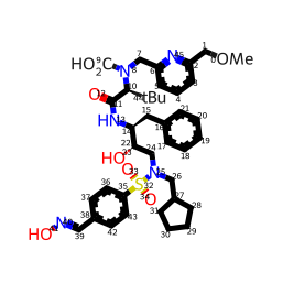 COCc1cccc(CN(C(=O)O)[C@H](C(=O)N[C@@H](Cc2ccccc2)[C@@H](O)CN(CC2CCCC2)S(=O)(=O)c2ccc(C=NO)cc2)C(C)(C)C)n1